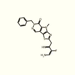 Cn1c2nc(CC(=N)/C(F)=C\N)sc2c2cnn(Cc3ccccc3)c(=O)c21